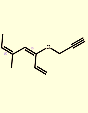 C#CCO/C(C=C)=C/C(C)=C\C